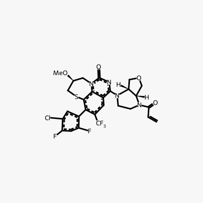 C=CC(=O)N1CCN(c2nc(=O)n3c4c(c(-c5cc(Cl)c(F)cc5F)c(C(F)(F)F)cc24)SC[C@@H](OC)C3)[C@@H]2COC[C@@H]21